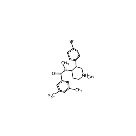 CN(C(=O)c1cc(C(F)(F)F)cc(C(F)(F)F)c1)C1CCNCC1c1ccc(Br)cc1.Cl